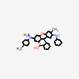 Cc1ccc(/[N+](C)=c2\ccc3c(-c4ccccc4C(=O)O)c4cc(Nc5ccccc5)c(C)cc4oc-3c2)cc1